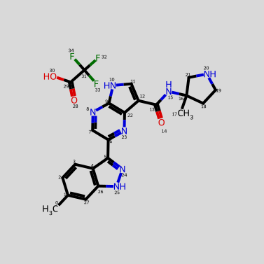 Cc1ccc2c(-c3cnc4[nH]cc(C(=O)NC5(C)CCNC5)c4n3)n[nH]c2c1.O=C(O)C(F)(F)F